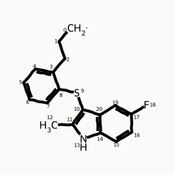 [CH2]CCc1ccccc1Sc1c(C)[nH]c2ccc(F)cc12